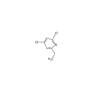 CCc1cc(Cl)cc(Cl)n1